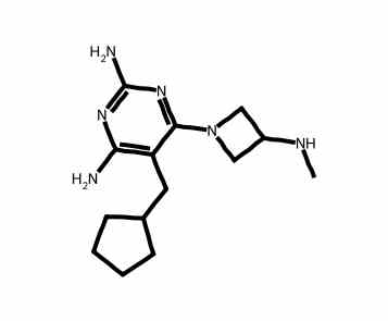 CNC1CN(c2nc(N)nc(N)c2CC2CCCC2)C1